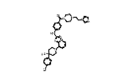 O=C(c1ccc(Nc2nc3c(N4CCC(O)(c5ccc(Cl)cc5)CC4)cccn3n2)cc1)N1CCN(CCn2ccnc2)CC1